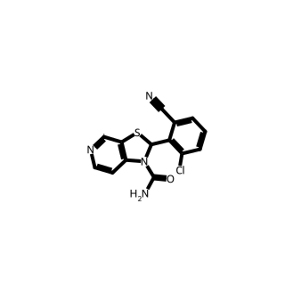 N#Cc1cccc(Cl)c1C1Sc2[c]nccc2N1C(N)=O